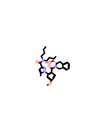 CCCCN(CCCC)C(=O)c1cc(C)n(-c2cc(OC)ccc2C(=O)N2Cc3ccccc3C[C@H]2CO)n1